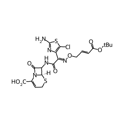 CC(C)(C)OC(=O)/C=C/CO/N=C(/C(=O)NC1C(=O)N2C(C(=O)O)=CCS[C@H]12)c1nc(N)sc1Cl